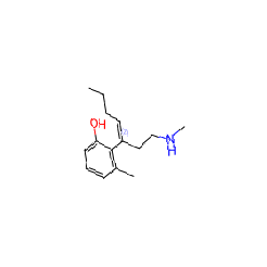 CCC/C=C(/CCNC)c1c(C)cccc1O